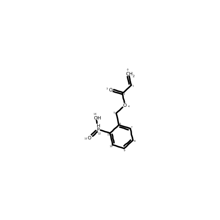 C=CC(=O)OCc1ccccc1[PH](=O)O